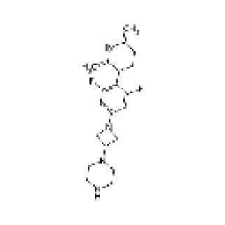 C=C1CCC(c2c(F)cc(N3CC(N4CCNCC4)C3)cc2F)C(=C)N1